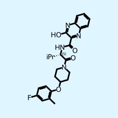 Cc1cc(F)ccc1OC1CCN(C(=O)[C@@H](NC(=O)c2nc3ccccc3nc2O)C(C)C)CC1